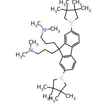 CN(C)CCCC1(CCCN(C)C)c2cc(B3CC(C)(C)C(C)(C)C3)ccc2-c2ccc(B3CC(C)(C)C(C)(C)C3)cc21